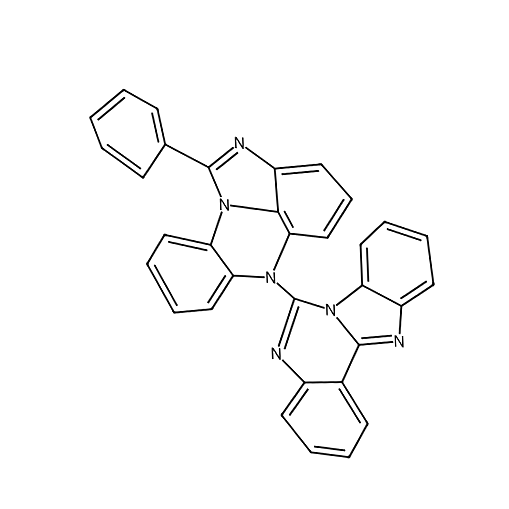 c1ccc(-c2nc3cccc4c3n2-c2ccccc2N4c2nc3ccccc3c3nc4ccccc4n23)cc1